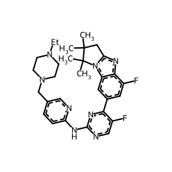 CCN1CCN(Cc2ccc(Nc3ncc(F)c(-c4cc(F)c5nc6n(c5c4)C(C)(C)C(C)(C)C6)n3)nc2)CC1